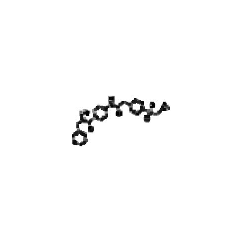 CCCN(Cc1ccccc1)C(=O)c1ccc(NC(=O)Cc2ccc(S(=O)(=O)CC3CC3)cc2)cc1